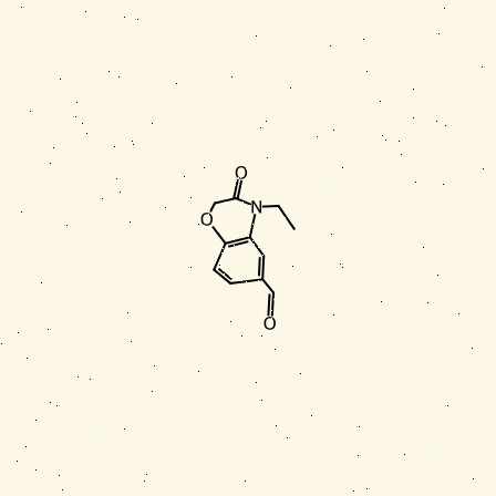 CCN1C(=O)COc2ccc(C=O)cc21